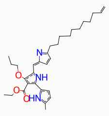 C=CCCCCCCCCCC1=N/C(=C/c2[nH]c(-c3ccc(C)[nH]3)c(C(=O)OCC)c2OCCC)C=C1